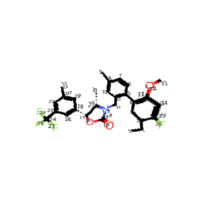 CCc1cc(-c2ccc(C)cc2CN2C(=O)O[C@H](c3cc(C)cc(C(F)(F)F)c3)[C@@H]2C)c(OC)cc1F